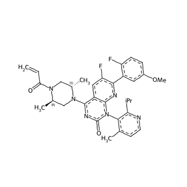 C=CC(=O)N1C[C@H](C)N(c2nc(=O)n(-c3c(C)ccnc3C(C)C)c3nc(-c4cc(OC)ccc4F)c(F)cc23)C[C@H]1C